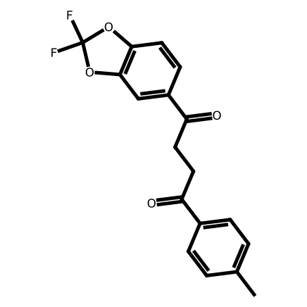 Cc1ccc(C(=O)CCC(=O)c2ccc3c(c2)OC(F)(F)O3)cc1